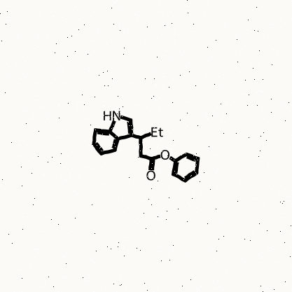 CCC(CC(=O)Oc1ccccc1)c1c[nH]c2ccccc12